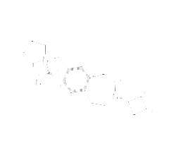 CC1CCC[N+]1(Cc1ccc2c(c1)CCN(C1CCC1)CC2)C(N)=O